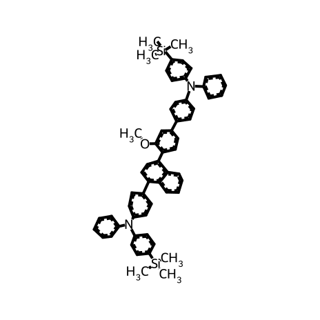 COc1cc(-c2ccc(N(c3ccccc3)c3ccc([Si](C)(C)C)cc3)cc2)ccc1-c1ccc(-c2ccc(N(c3ccccc3)c3ccc([Si](C)(C)C)cc3)cc2)c2ccccc12